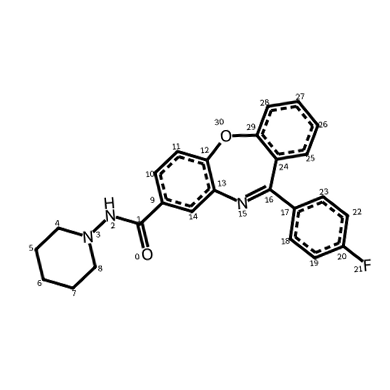 O=C(NN1CCCCC1)c1ccc2c(c1)N=C(c1ccc(F)cc1)c1ccccc1O2